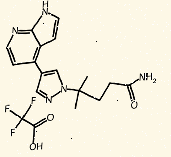 CC(C)(CCC(N)=O)n1cc(-c2ccnc3[nH]ccc23)cn1.O=C(O)C(F)(F)F